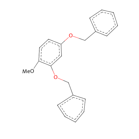 [CH2]Oc1ccc(OCc2ccccc2)cc1OCc1ccccc1